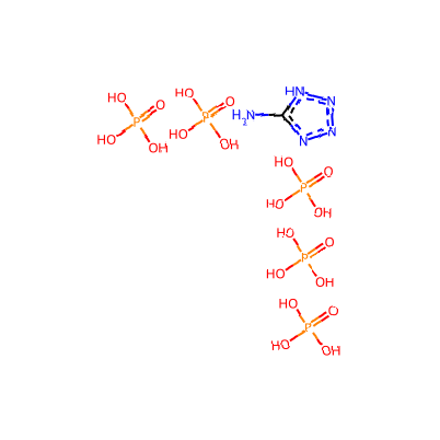 Nc1nnn[nH]1.O=P(O)(O)O.O=P(O)(O)O.O=P(O)(O)O.O=P(O)(O)O.O=P(O)(O)O